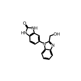 O=c1[nH]c2ccc(-n3c(CO)nc4ccccc43)cc2[nH]1